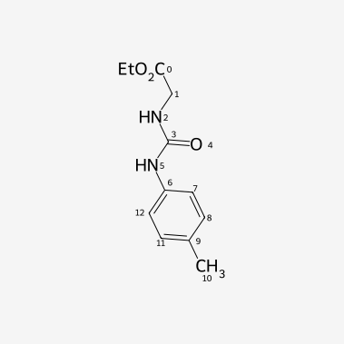 CCOC(=O)CNC(=O)Nc1ccc(C)cc1